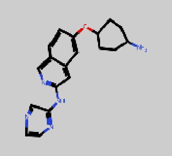 NC1CCC(Oc2ccc3cnc(Nc4cnccn4)cc3c2)CC1